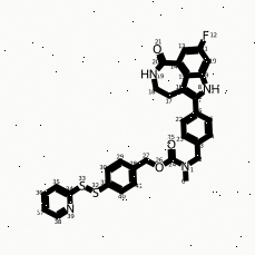 CN(Cc1ccc(-c2[nH]c3cc(F)cc4c3c2CCNC4=O)cc1)C(=O)OCc1ccc(SSc2ccccn2)cc1